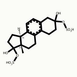 C[C@]12CCc3c(ccc4c3CCC(O)(OS(=O)(=O)O)C4)[C@@H]1CCC2(O)OS(=O)(=O)O